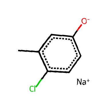 Cc1cc([O-])ccc1Cl.[Na+]